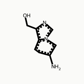 Nc1ccc2c(CO)ncn2c1